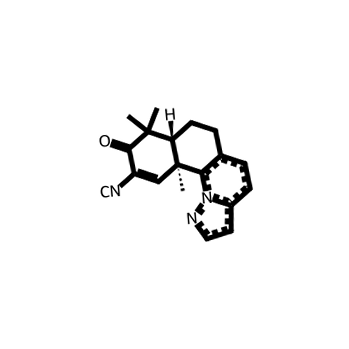 [C-]#[N+]C1=C[C@]2(C)c3c(ccc4ccnn34)CC[C@H]2C(C)(C)C1=O